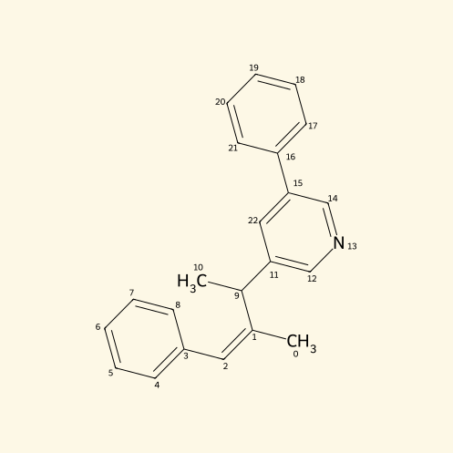 CC(=Cc1ccccc1)C(C)c1cncc(-c2ccccc2)c1